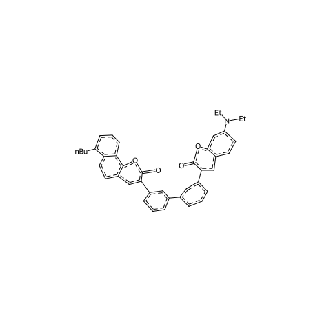 CCCCc1cccc2c1ccc1cc(-c3cccc(-c4cccc(-c5cc6ccc(N(CC)CC)cc6oc5=O)c4)c3)c(=O)oc12